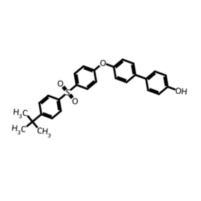 CC(C)(C)c1ccc(S(=O)(=O)c2ccc(Oc3ccc(-c4ccc(O)cc4)cc3)cc2)cc1